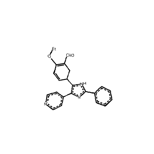 CCOC1=C(C=O)CC(c2[nH]c(-c3ccccc3)nc2-c2ccncc2)C=C1